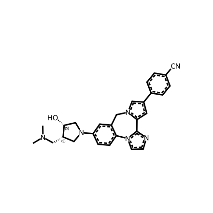 CN(C)C[C@H]1CN(c2ccc3c(c2)Cn2cc(-c4ccc(C#N)cc4)cc2-c2nccn2-3)C[C@H]1O